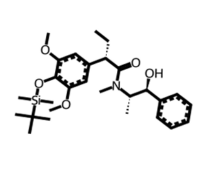 CC[C@H](C(=O)N(C)[C@@H](C)[C@@H](O)c1ccccc1)c1cc(OC)c(O[Si](C)(C)C(C)(C)C)c(OC)c1